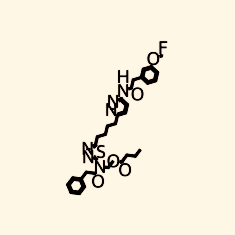 CCCC(=O)OCN(C(=O)Cc1ccccc1)c1nnc(CCCCc2ccc(NC(=O)Cc3cccc(OCF)c3)nn2)s1